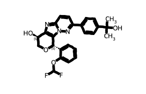 CC(C)(O)c1ccc(-c2ccc3nc4c(n3n2)[C@H](c2ccccc2OC(F)F)OC[C@H]4O)cc1